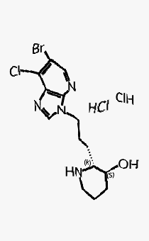 Cl.Cl.O[C@H]1CCCN[C@@H]1CCCn1cnc2c(Cl)c(Br)cnc21